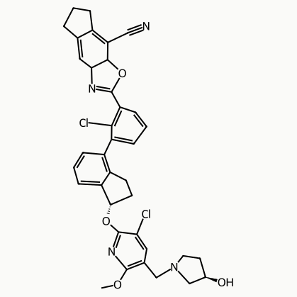 COc1nc(O[C@H]2CCc3c(-c4cccc(C5=NC6C=C7CCCC7=C(C#N)C6O5)c4Cl)cccc32)c(Cl)cc1CN1CC[C@@H](O)C1